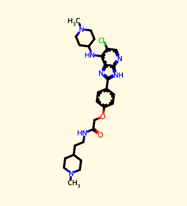 CN1CCC(CCNC(=O)COc2ccc(-c3nc4c(NC5CCN(C)CC5)c(Cl)cnc4[nH]3)cc2)CC1